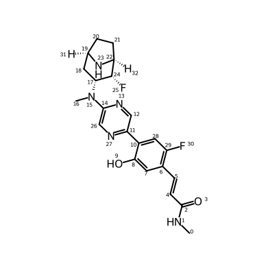 CNC(=O)/C=C/c1cc(O)c(-c2cnc(N(C)[C@@H]3C[C@H]4CC[C@H](N4)[C@@H]3F)cn2)cc1F